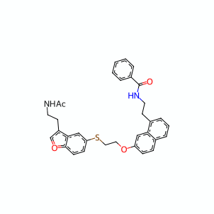 CC(=O)NCCc1coc2ccc(SCCOc3ccc4cccc(CCNC(=O)c5ccccc5)c4c3)cc12